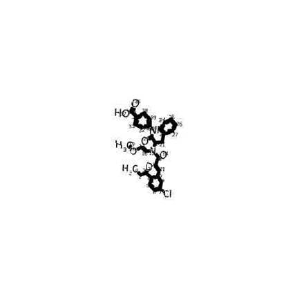 CCC(=O)c1ccc(Cl)cc1/C=C/C(=O)N(/C=C/OC)C(Cc1ccccc1)C(=O)Nc1ccc(C(=O)O)cc1